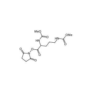 COC(=O)NCCCC(NC(=O)OC)C(=O)ON1C(=O)CCC1=O